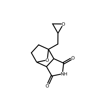 O=C1NC(=O)C2C1C1CCC2(CC2CO2)O1